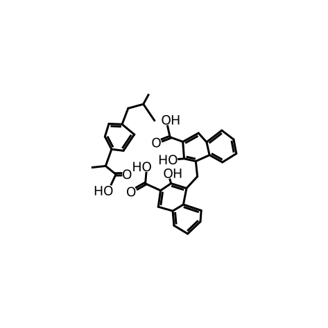 CC(C)Cc1ccc(C(C)C(=O)O)cc1.O=C(O)c1cc2ccccc2c(Cc2c(O)c(C(=O)O)cc3ccccc23)c1O